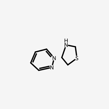 C1CSCN1.c1ccnnc1